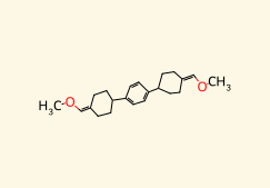 COC=C1CCC(c2ccc(C3CCC(=COC)CC3)cc2)CC1